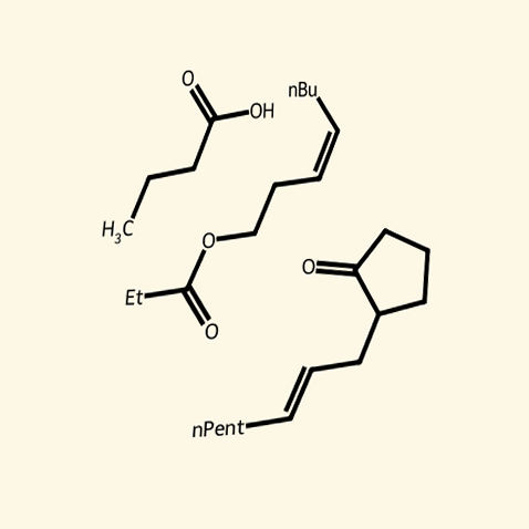 CCCC(=O)O.CCCC/C=C\CCOC(=O)CC.CCCCC/C=C/CC1CCCC1=O